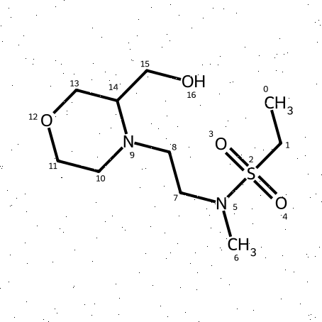 CCS(=O)(=O)N(C)CCN1CCOCC1CO